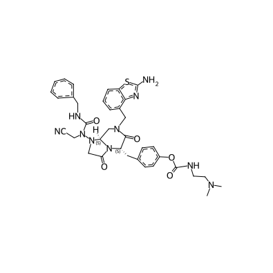 CN(C)CCNC(=O)Oc1ccc(C[C@H]2C(=O)N(Cc3cccc4sc(N)nc34)C[C@H]3N2C(=O)CN3N(CC#N)C(=O)NCc2ccccc2)cc1